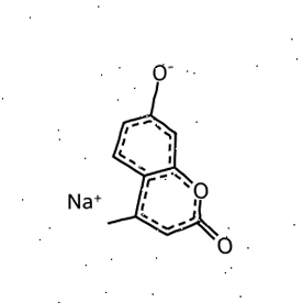 Cc1cc(=O)oc2cc([O-])ccc12.[Na+]